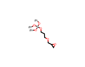 CC(C)O[Si](OCCCOCC1CO1)(OC(C)C)OC(C)C